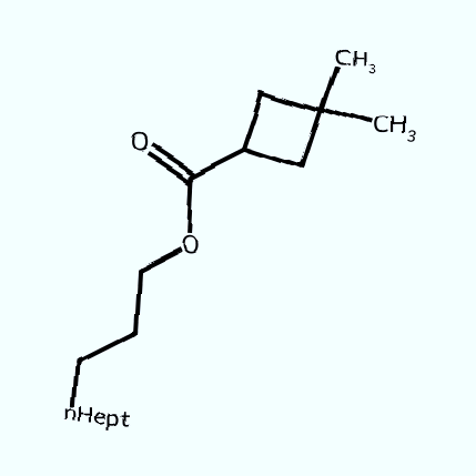 CCCCCCCCCCOC(=O)C1CC(C)(C)C1